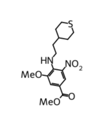 COC(=O)c1cc(OC)c(NCCC2CCSCC2)c([N+](=O)[O-])c1